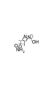 CC(c1cnc(N2CCCC2CO)cc1I)C(C)(C)OC(N)=O